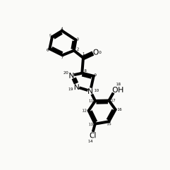 O=C(c1ccccc1)c1cn(-c2cc(Cl)ccc2O)nn1